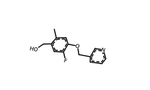 Cc1cc(OCc2cccnc2)c(F)cc1CO